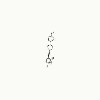 CC[C@H]1CC[C@H](C2CCC(C#Cc3ccc(F)nc3F)CC2)CC1